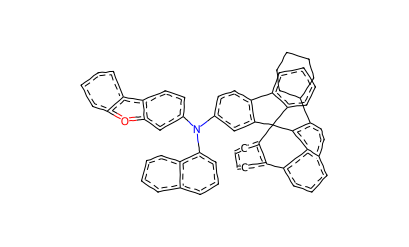 c1ccc2c(c1)-c1ccc(N(c3ccc4c(c3)oc3ccccc34)c3cccc4ccccc34)cc1C21c2ccccc2-c2cccc3ccc(C4CCCCC4)c1c23